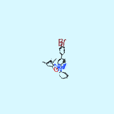 Cc1cc(C)c(NC(=O)N(Cc2ccc(-c3ccc(Br)cc3)cc2)C2CCCCCC2)c(C)c1